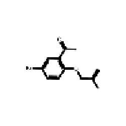 C=C(C)COc1ccc(Br)cc1C(C)=O